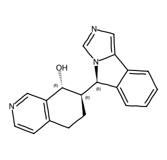 O[C@H]1c2cnccc2CC[C@@H]1[C@@H]1c2ccccc2-c2cncn21